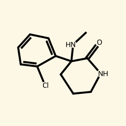 CNC1(c2ccccc2Cl)CCCNC1=O